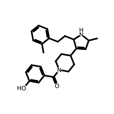 Cc1ccccc1CCC1NC(C)C=C1C1CCN(C(=O)c2cccc(O)c2)CC1